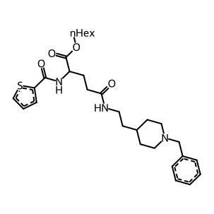 CCCCCCOC(=O)C(CCC(=O)NCCC1CCN(Cc2ccccc2)CC1)NC(=O)c1cccs1